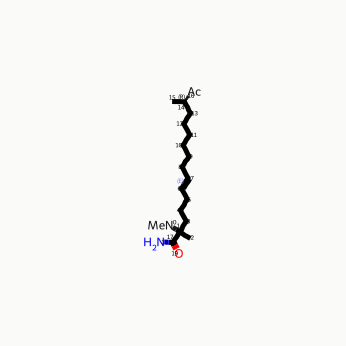 CNC(C)(CCC/C=C/CCCCCC[C@@H](C)C(C)=O)C(N)=O